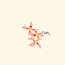 O=P(O)(O)OP(=O)(O)OP(=O)(O)O.[SrH2]